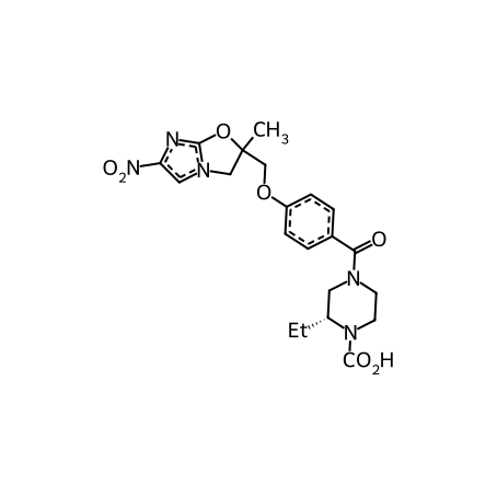 CC[C@@H]1CN(C(=O)c2ccc(OCC3(C)Cn4cc([N+](=O)[O-])nc4O3)cc2)CCN1C(=O)O